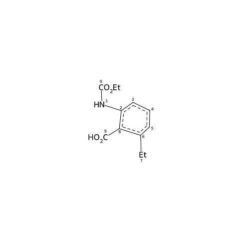 CCOC(=O)Nc1cccc(CC)c1C(=O)O